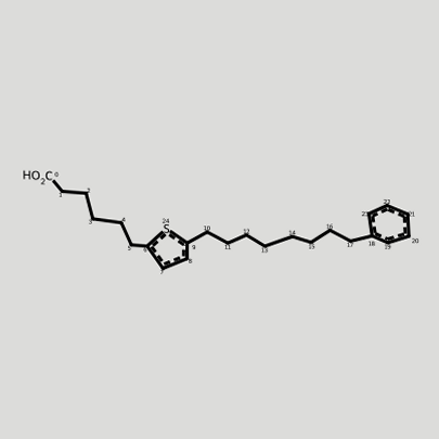 O=C(O)CCCCCc1ccc(CCCCCCCCc2ccccc2)s1